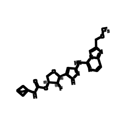 O=C(NC12CC(C1)C2)O[C@H]1CO[C@@H](c2cc(Nc3nccc4nc(COC(F)(F)F)cn34)n[nH]2)[C@H]1F